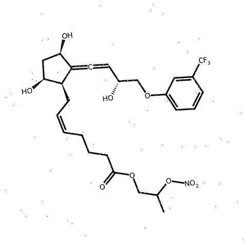 CC(COC(=O)CCC/C=C\C[C@@H]1C(=C=C[C@@H](O)COc2cccc(C(F)(F)F)c2)[C@H](O)C[C@@H]1O)O[N+](=O)[O-]